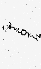 CCC(C)(N)CC/N=C/c1ccc(/C=N/CCC(C)N)cc1